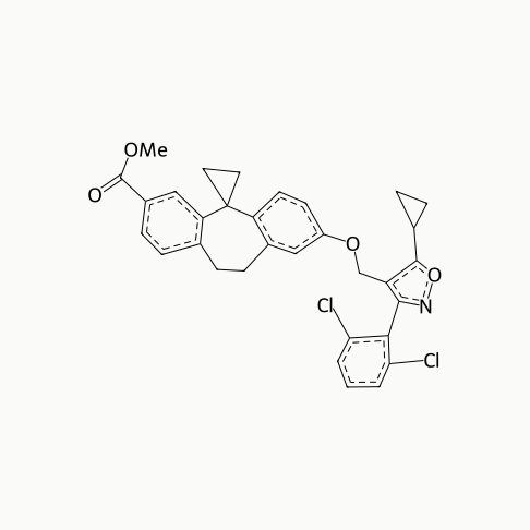 COC(=O)c1ccc2c(c1)C1(CC1)c1ccc(OCc3c(-c4c(Cl)cccc4Cl)noc3C3CC3)cc1CC2